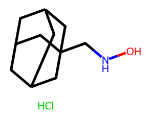 Cl.ONCC12CC3CC(CC(C3)C1)C2